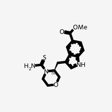 COC(=O)c1ccc2[nH]cc(C[C@H]3COCCN3C(N)=S)c2c1